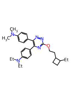 CCC1CCC1CCOc1nnc(-c2ccc(N(C)C)cc2)c(-c2ccc(N(CC)CC)cc2)n1